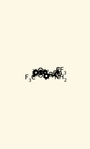 NC(COc1cccc2c1ccn2S(=O)(=O)c1cccc(C(F)(F)F)c1)OC(=O)C(F)(F)F